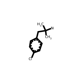 CC(C)([N])Cc1ccc(Cl)cc1